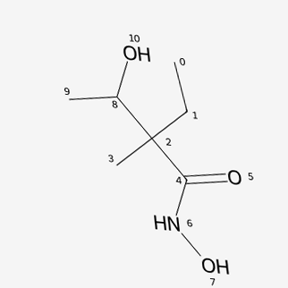 CCC(C)(C(=O)NO)C(C)O